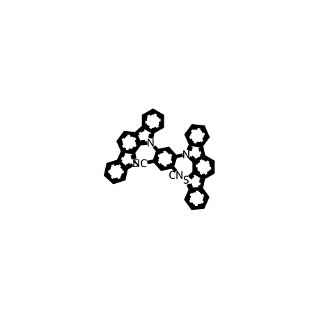 N#Cc1cc(C#N)c(-n2c3ccccc3c3ccc4c5ccccc5sc4c32)cc1-n1c2ccccc2c2ccc3c4ccccc4sc3c21